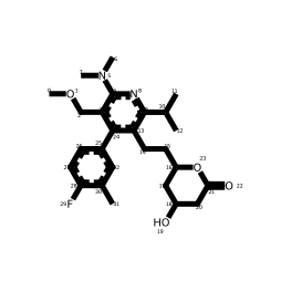 COCc1c(N(C)C)nc(C(C)C)c(CCC2CC(O)CC(=O)O2)c1-c1ccc(F)c(C)c1